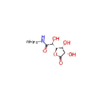 CCCCCCNC(=O)C(O)[C@H]1OC(=O)[C@@H](O)[C@H]1O